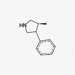 C[C@@H]1CNCC1c1ccccc1